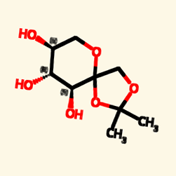 CC1(C)OCC2(OC[C@H](O)[C@@H](O)[C@@H]2O)O1